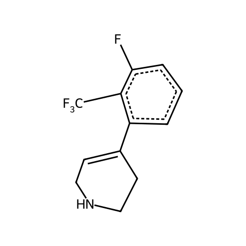 Fc1cccc(C2=CCNCC2)c1C(F)(F)F